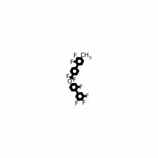 Cc1ccc(-c2ccc(C(F)(F)Oc3ccc(-c4cc(F)c(F)c(F)c4)c(F)c3)cc2)c(F)c1F